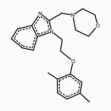 Cc1ccc(C)c(OCCn2c(CN3CCOCC3)nc3ccccc32)c1